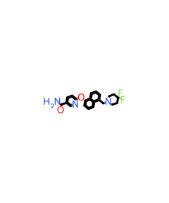 NC(=O)c1ccc(Oc2cccc3c(CN4CCC(F)(F)CC4)cccc23)nc1